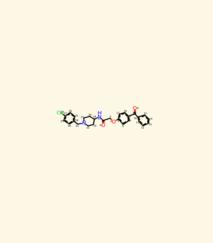 O=C(COc1ccc(C(=O)c2ccccc2)cc1)NC1CCN(Cc2ccc(Cl)cc2)CC1